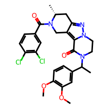 COc1ccc(C(C)N2CCn3nc4c(c3C2=O)CN(C(=O)c2ccc(Cl)c(Cl)c2)[C@H](C)C4)cc1OC